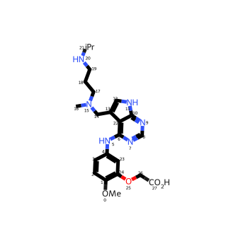 COc1ccc(Nc2ncnc3[nH]cc(CN(C)CCCNC(C)C)c23)cc1OCC(=O)O